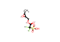 CC1OC1COC(=O)C(F)(F)S(=O)(=O)O